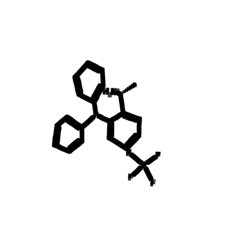 C[C@@H]([NH3+])c1ccccc1P(c1ccccc1)c1ccccc1.F[B-](F)(F)F